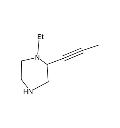 CC#CC1CNCCN1CC